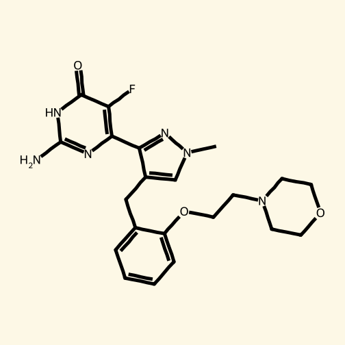 Cn1cc(Cc2ccccc2OCCN2CCOCC2)c(-c2nc(N)[nH]c(=O)c2F)n1